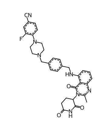 Cc1nc2cccc(NCc3ccc(CN4CCN(c5ccc(C#N)cc5F)CC4)cc3)c2c(=O)n1C1CCC(=O)NC1=O